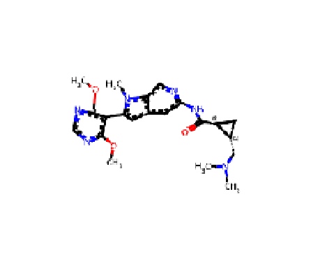 COc1ncnc(OC)c1-c1cc2cc(NC(=O)[C@H]3C[C@@H]3CN(C)C)ncc2n1C